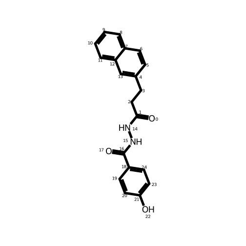 O=C(CCc1ccc2ccccc2c1)NNC(=O)c1ccc(O)cc1